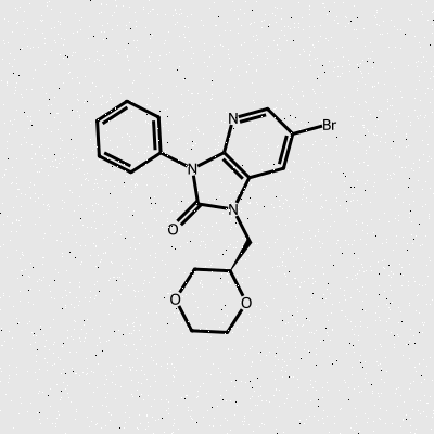 O=c1n(C[C@@H]2COCCO2)c2cc(Br)cnc2n1-c1ccccc1